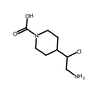 NCC(Cl)C1CCN(C(=O)O)CC1